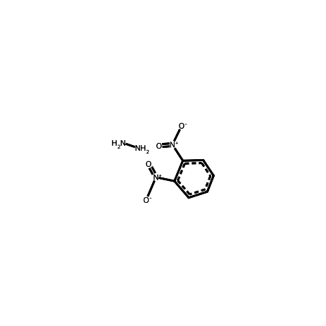 NN.O=[N+]([O-])c1ccccc1[N+](=O)[O-]